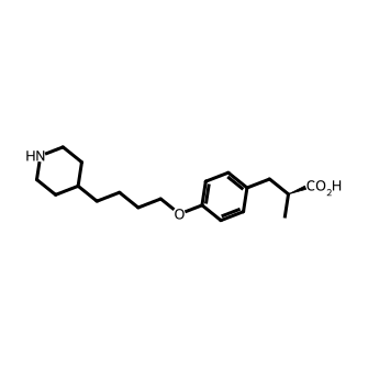 C[C@@H](Cc1ccc(OCCCCC2CCNCC2)cc1)C(=O)O